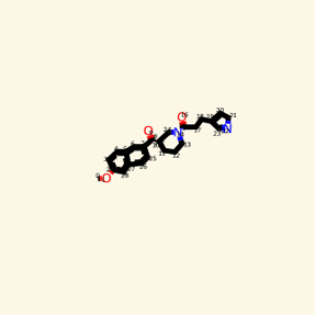 COc1ccc2cc(C(=O)[C@@H]3CCCN(C(=O)CCC4=CCN=C4)C3)ccc2c1